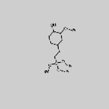 CC(C)OC1CC(CC[Si](OC(C)C)(OC(C)C)OC(C)C)CCC1O